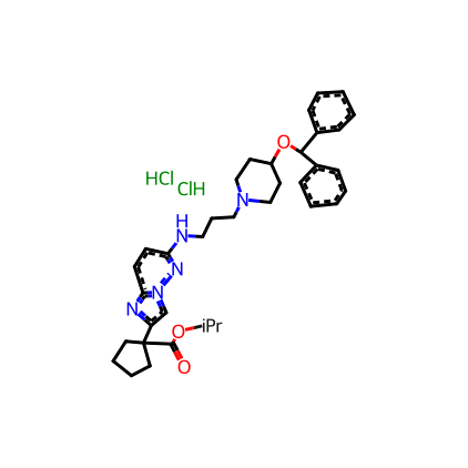 CC(C)OC(=O)C1(c2cn3nc(NCCCN4CCC(OC(c5ccccc5)c5ccccc5)CC4)ccc3n2)CCCC1.Cl.Cl